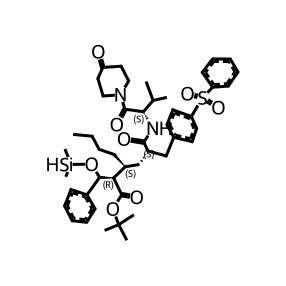 CCCC[C@@H](C[C@@H](Cc1ccc(S(=O)(=O)c2ccccc2)cc1)C(=O)N[C@H](C(=O)N1CCC(=O)CC1)C(C)C)[C@@H](C(=O)OC(C)(C)C)C(O[SiH](C)C)c1ccccc1